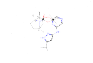 CC(C)c1cc(Nc2cncc(O[C@H]3C[C@H]4CC[C@@H]([C@H]3C)N4C(=O)OC(C)(C)C)n2)n[nH]1